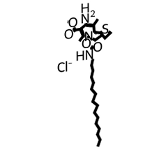 CCCCCCCCCCCCCCCCNC(=O)O[N+]1(CC)C(C)=C(C(=O)OC)C(N)=C(C)C1C1CCS1.[Cl-]